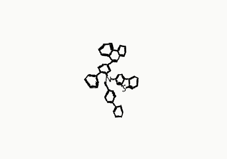 c1ccc(-c2ccc(CN(c3ccc4c(c3)sc3ccccc34)c3cc(-c4cc5ccccc5c5ccccc45)ccc3-c3ccccc3)cc2)cc1